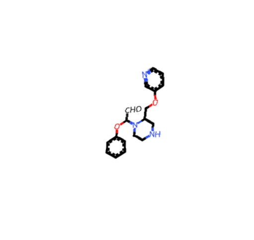 O=CC(Oc1ccccc1)N1CCNCC1COc1cccnc1